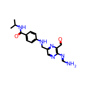 CC(C)NC(=O)c1ccc(NCc2cnc(/N=C/N)c(C=O)n2)cc1